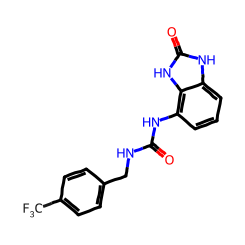 O=C(NCc1ccc(C(F)(F)F)cc1)Nc1cccc2[nH]c(=O)[nH]c12